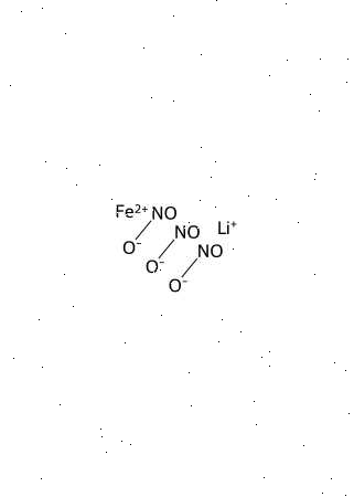 O=N[O-].O=N[O-].O=N[O-].[Fe+2].[Li+]